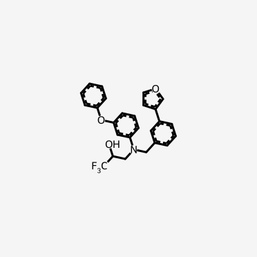 OC(CN(Cc1cccc(-c2ccoc2)c1)c1cccc(Oc2ccccc2)c1)C(F)(F)F